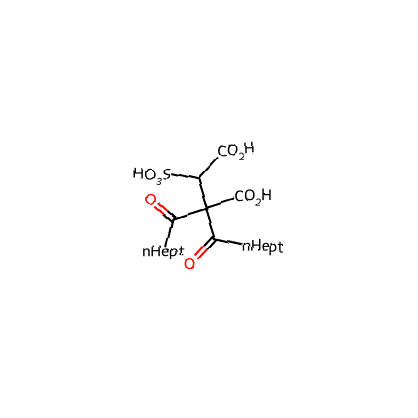 CCCCCCCC(=O)C(C(=O)O)(C(=O)CCCCCCC)C(C(=O)O)S(=O)(=O)O